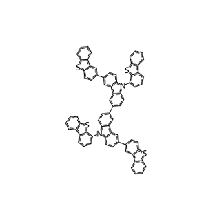 c1ccc2c(c1)sc1ccc(-c3ccc4c(c3)c3cc(-c5ccc6c(c5)c5cc(-c7ccc8sc9ccccc9c8c7)ccc5n6-c5cccc6c5sc5ccccc56)ccc3n4-c3cccc4c3sc3ccccc34)cc12